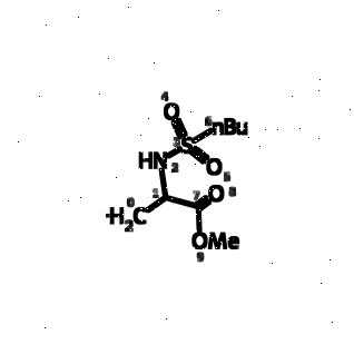 [CH2]C(NS(=O)(=O)CCCC)C(=O)OC